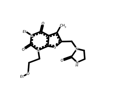 CCOCCn1c(=O)n(CC)c(=O)c2c(C)c(CN3CCNC3=O)sc21